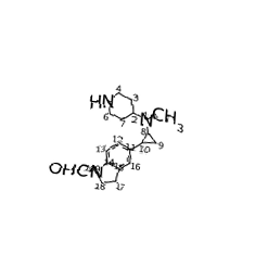 CN(C1CCNCC1)C1CC1c1ccc2c(c1)CCN2C=O